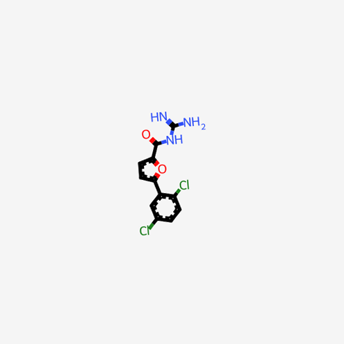 N=C(N)NC(=O)c1ccc(-c2cc(Cl)ccc2Cl)o1